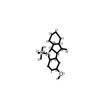 COC1CCC2C(C1)C1C(C)C3CCCCC3C1N2S(C)(C)C